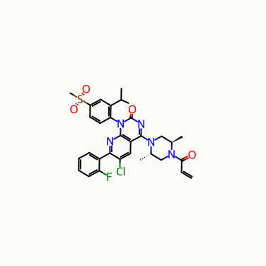 C=CC(=O)N1C[C@H](C)N(c2nc(=O)n(-c3ccc(S(C)(=O)=O)cc3C(C)C)c3nc(-c4ccccc4F)c(Cl)cc23)C[C@H]1C